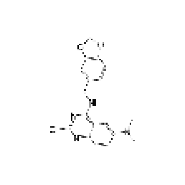 CN(C)c1ccc2nc(Cl)nc(NCc3ccc4c(c3)OCO4)c2c1